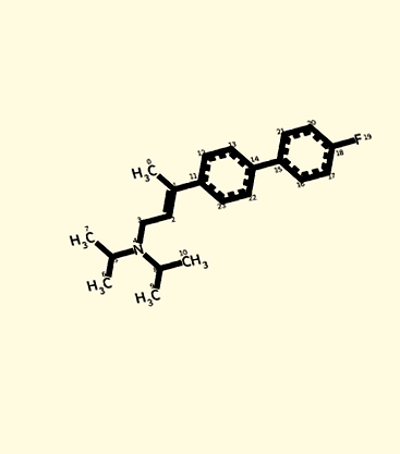 CC(=CCN(C(C)C)C(C)C)c1ccc(-c2ccc(F)cc2)cc1